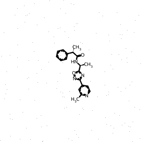 Cc1cc(-c2noc([C@H](C)NC(=O)[C@@H](C)c3ccccc3)n2)ccn1